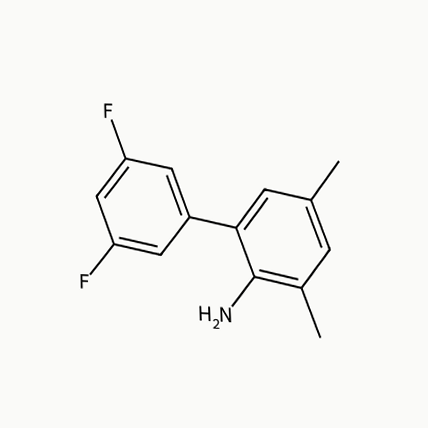 Cc1cc(C)c(N)c(-c2cc(F)cc(F)c2)c1